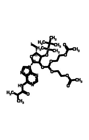 CC(=O)OCCOC(OCCOC(C)=O)OC1C(O[Si](C)(C)C(C)(C)C)[C@@H](CI)O[C@H]1n1cnc2c(NC(=O)C(C)C)ncnc21